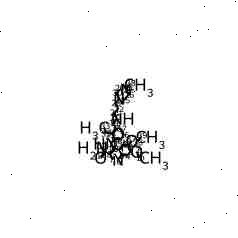 CCOc1cc2ncc(C(N)=O)c(Nc3cccc(CNCCCN4CCN(C)CC4)c3CC)c2cc1OCC